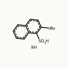 CCCCc1ccc2ccccc2c1S(=O)(=O)O.[KH]